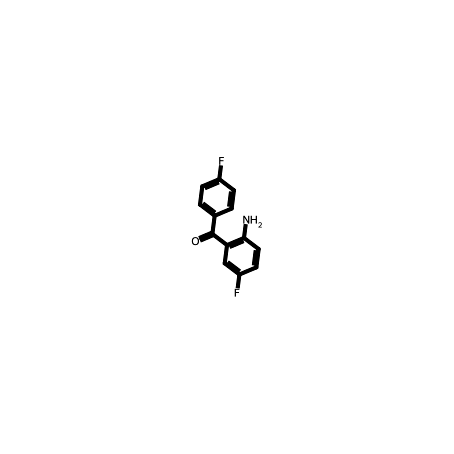 Nc1ccc(F)cc1C(=O)c1ccc(F)cc1